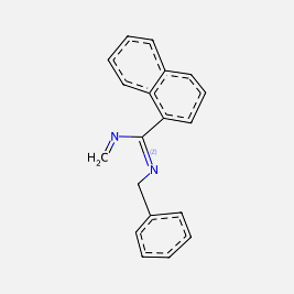 C=N/C(=N\Cc1ccccc1)c1cccc2ccccc12